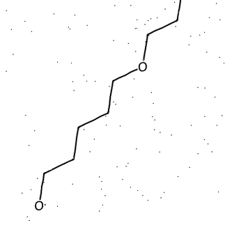 CC(C)(C)CCOCCCCC[O]